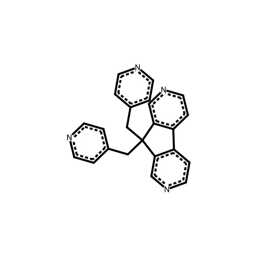 c1cc(CC2(Cc3ccncc3)c3cnccc3-c3ccncc32)ccn1